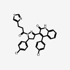 O=C(CCc1cscn1)N1N=C(c2c(-c3ccc(Cl)cc3)c3ccccc3[nH]c2=O)CC1c1ccc(Cl)cc1